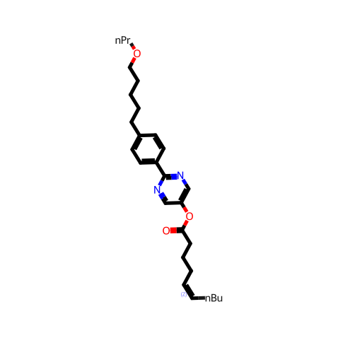 CCCC/C=C\CCCC(=O)Oc1cnc(-c2ccc(CCCCCOCCC)cc2)nc1